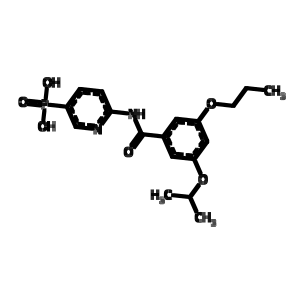 CCCOc1cc(OC(C)C)cc(C(=O)Nc2ccc(P(=O)(O)O)cn2)c1